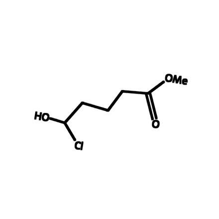 COC(=O)CCCC(O)Cl